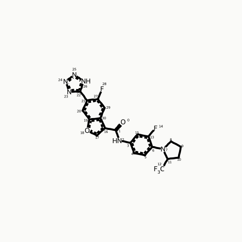 O=C(Nc1ccc(N2CCCC2C(F)(F)F)c(F)c1)c1coc2cc(-c3nnn[nH]3)c(F)cc12